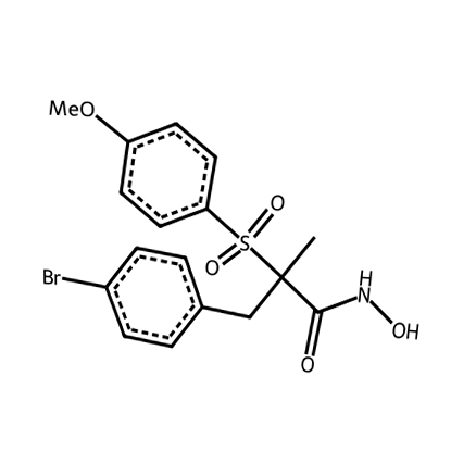 COc1ccc(S(=O)(=O)C(C)(Cc2ccc(Br)cc2)C(=O)NO)cc1